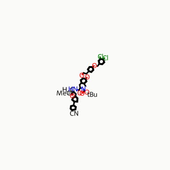 COC(=O)[C@](C)(Cc1ccc(-c2ccc(C#N)cc2)cc1)NC(=O)C1Cc2cc3c(cc2CN1C(=O)OC(C)(C)C)OC(c1ccc(OCc2ccc(Cl)c(Cl)c2)cc1)CO3